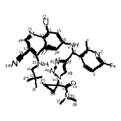 Cc1nc(F)ccc1C(Nc1cc(Cl)c2ncc(C#N)c(NCC(C)(C)C)c2c1)c1cn(C2(C(=O)N(C)C)CC2)nn1